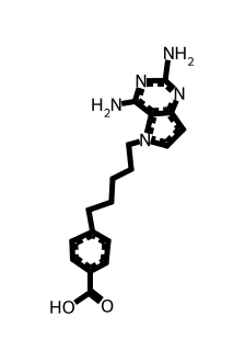 Nc1nc(N)c2c(ccn2CCCCCc2ccc(C(=O)O)cc2)n1